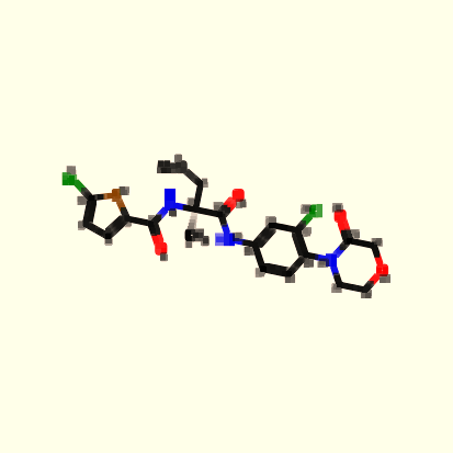 COC[C@](C)(NC(=O)c1ccc(Br)s1)C(=O)Nc1ccc(N2CCOCC2=O)c(Cl)c1